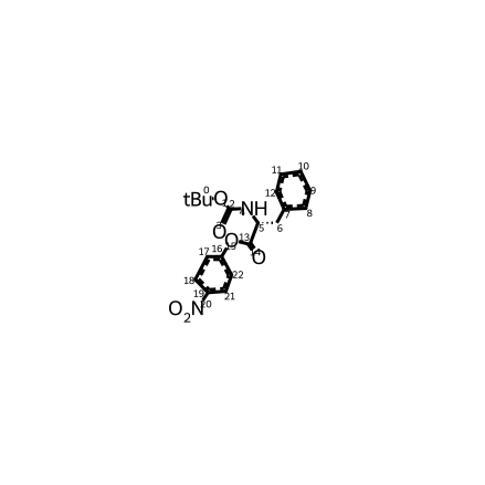 CC(C)(C)OC(=O)N[C@H](Cc1ccccc1)C(=O)Oc1ccc([N+](=O)[O-])cc1